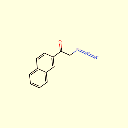 [N-]=[N+]=NCC(=O)c1ccc2ccccc2c1